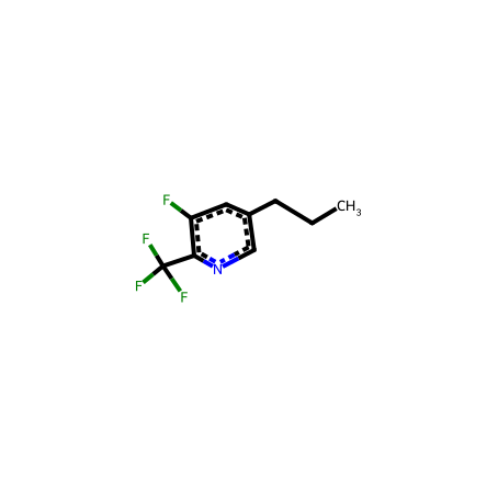 CCCc1cnc(C(F)(F)F)c(F)c1